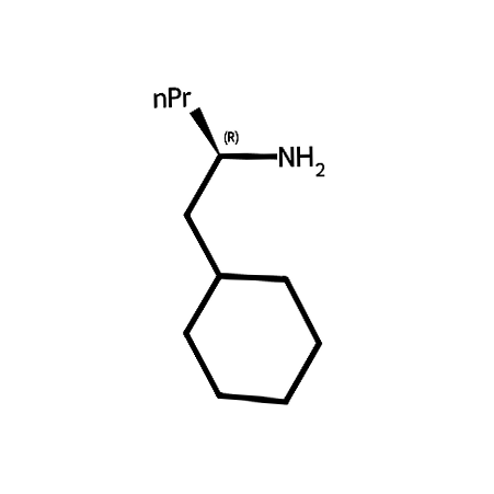 CCC[C@@H](N)CC1CCCCC1